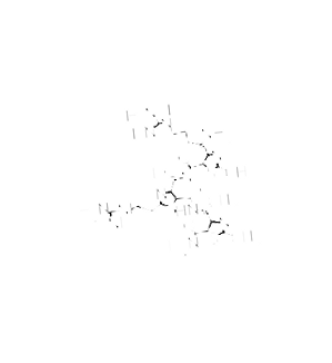 Cc1nc([C@H](C)NC(=O)c2sc(CCCNC(=N)N)nc2[C@H](C)NC(=O)c2sc(C)nc2[C@@H](N)CCCNC(=N)N)c(C(N)=O)s1